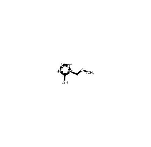 CSCn1nnnc1S